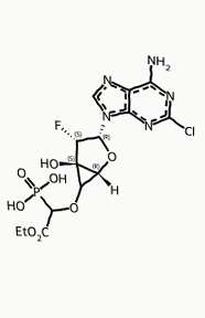 CCOC(=O)C(OC1[C@H]2O[C@@H](n3cnc4c(N)nc(Cl)nc43)[C@@H](F)[C@@]12O)P(=O)(O)O